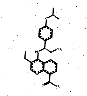 CCc1cnc2c(C(N)=O)cccc2c1N[C@H](CN)c1ccc(OC(C)C)cc1